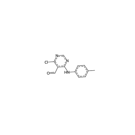 Cc1ccc(Nc2ncnc(Cl)c2C=O)cc1